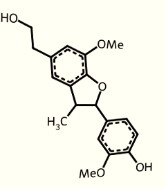 COc1cc(C2Oc3c(OC)cc(CCO)cc3C2C)ccc1O